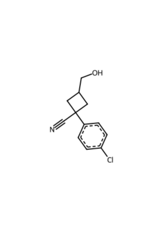 N#CC1(c2ccc(Cl)cc2)CC(CO)C1